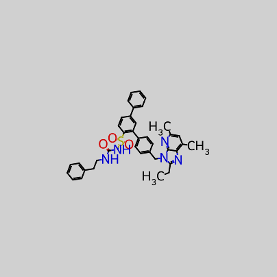 CCc1nc2c(C)cc(C)nc2n1Cc1ccc(-c2cc(-c3ccccc3)ccc2S(=O)(=O)NC(=O)NCCc2ccccc2)cc1